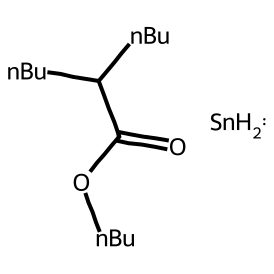 CCCCOC(=O)C(CCCC)CCCC.[SnH2]